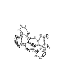 Fc1ccc(CN2c3ccccc3-n3nnnc3-c3cnc(N4CCOCC4)nc32)cc1F